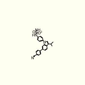 CC(C)c1cn(-c2ccc(NS(N)(=O)=O)cc2)c2cc(-c3ccc(C#N)cc3)ccc12